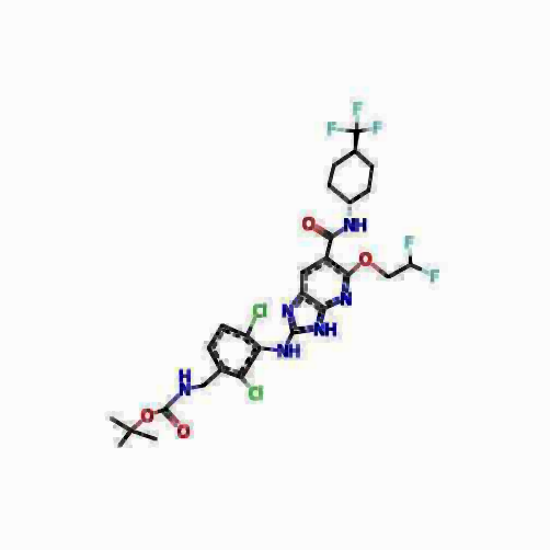 CC(C)(C)OC(=O)NCc1ccc(Cl)c(Nc2nc3cc(C(=O)N[C@H]4CC[C@H](C(F)(F)F)CC4)c(OCC(F)F)nc3[nH]2)c1Cl